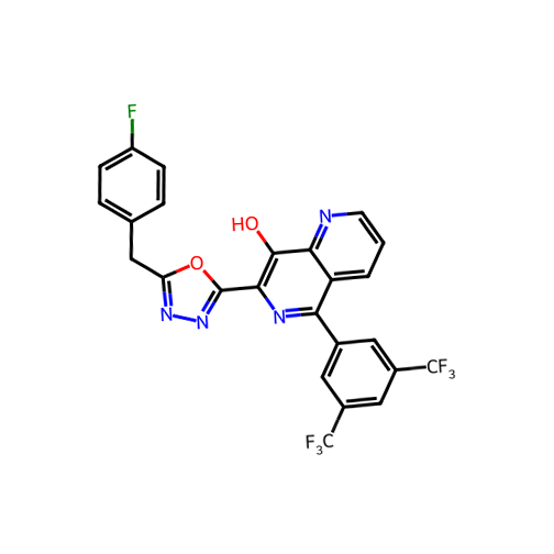 Oc1c(-c2nnc(Cc3ccc(F)cc3)o2)nc(-c2cc(C(F)(F)F)cc(C(F)(F)F)c2)c2cccnc12